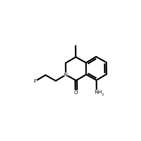 CC1CN(CCF)C(=O)c2c(N)cccc21